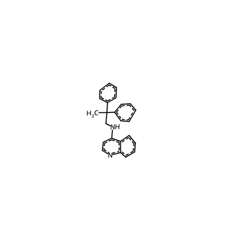 CC(CNc1ccnc2ccccc12)(c1ccccc1)c1ccccc1